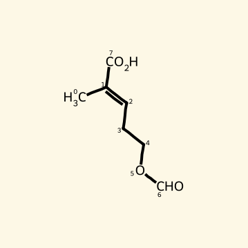 CC(=CCCOC=O)C(=O)O